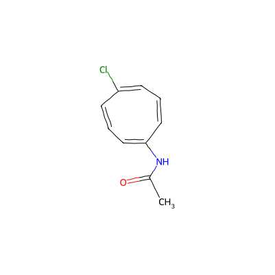 CC(=O)NC1=C/C=C\C(Cl)=C/C=C\1